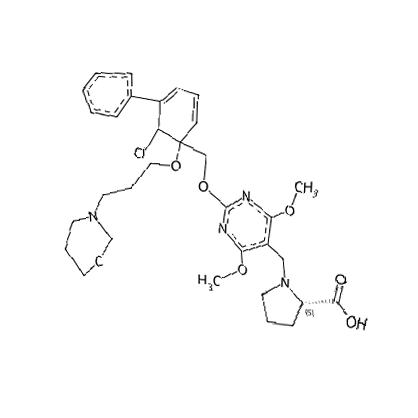 COc1nc(OCC2(OCCCN3CCCCC3)C=CC=C(c3ccccc3)C2Cl)nc(OC)c1CN1CCC[C@H]1C(=O)O